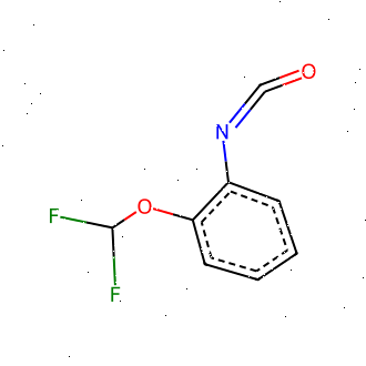 O=C=Nc1ccccc1OC(F)F